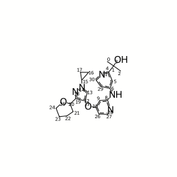 CC(C)(O)c1cc(Nc2cc(Oc3cn(C4CC4)nc3C3CCCCO3)ccn2)ccn1